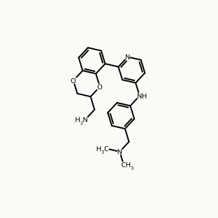 CN(C)Cc1cccc(Nc2ccnc(-c3cccc4c3OC(CN)CO4)c2)c1